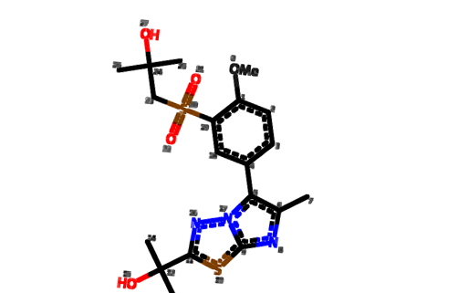 COc1ccc(-c2c(C)nc3sc(C(C)(C)O)nn23)cc1S(=O)(=O)CC(C)(C)O